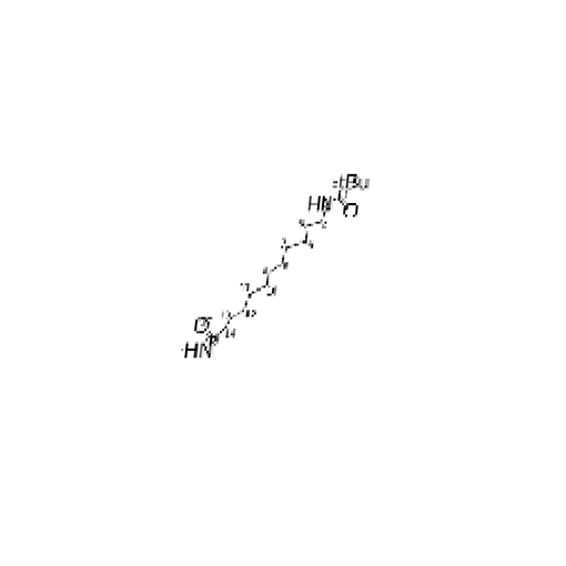 CC(C)(C)C(=O)NCCCCCCCCCCCC([NH])=O